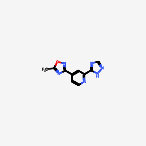 FC(F)(F)c1nc(-c2ccnc(-c3ncn[nH]3)c2)no1